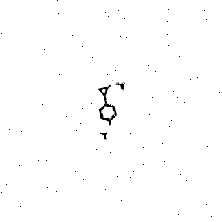 CC(C)Oc1ccc(C2CC2NC(=O)O)cc1